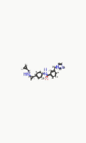 O=C(Nc1ccc(C2CC2NCC2CC2)cc1)c1cccc(Cn2ccnc2)c1